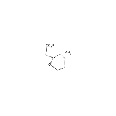 O=C(O)CC1CCCCO1.[AlH3]